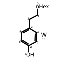 CCCCCCCCc1ccc(O)cc1.[W]